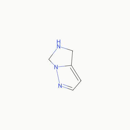 c1cc2n(n1)CNC2